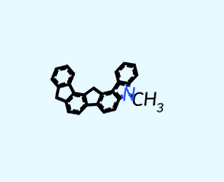 Cn1c2ccccc2c2c3c(ccc21)-c1ccc2c(c1C3)-c1ccccc1C2